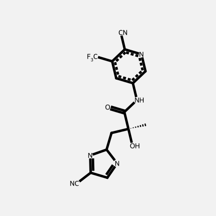 C[C@](O)(CC1N=CC(C#N)=N1)C(=O)Nc1cnc(C#N)c(C(F)(F)F)c1